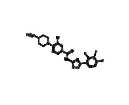 CCOC(=O)C1CCN(c2ncc(C(=O)Nc3nc(-c4ccc(F)c(F)c4F)cs3)cc2Cl)CC1